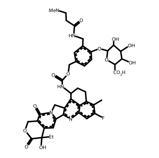 CCC1(O)C(=O)OCc2c1cc1n(c2=O)Cc2c-1nc1cc(F)c(C)c3c1c2C(NC(=O)OCc1ccc(OC2OC(C(=O)O)C(O)C(O)C2O)c(CNC(=O)CCNC)c1)CC3